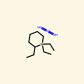 CCC1CCCC[Si]1(CC)CC.N=[N+]=N